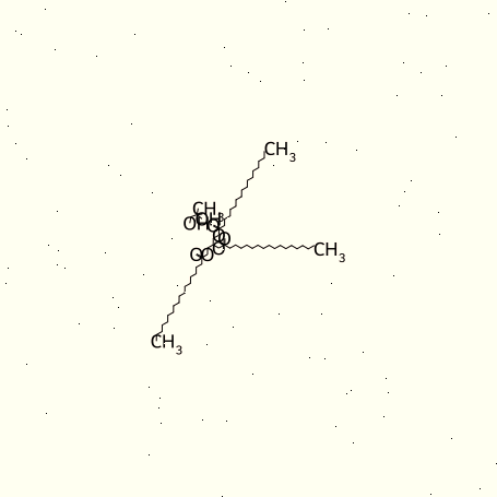 CC(O)CO.CCCCCCCCCCCCCCCCCC(=O)OCC(COC(=O)CCCCCCCCCCCCCCCCC)OC(=O)CCCCCCCCCCCCCCCCC